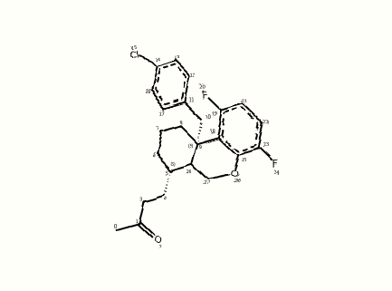 CC(=O)CC[C@@H]1CCC[C@@]2(Cc3ccc(Cl)cc3)c3c(F)ccc(F)c3OCC12